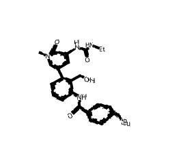 CCNC(=O)Nc1cc(-c2cccc(NC(=O)c3ccc(C(C)(C)C)cc3)c2CO)cn(C)c1=O